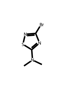 CN(C)c1nc(Br)ns1